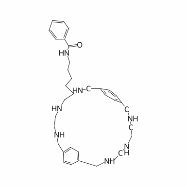 O=C(NCCCCC1CNCCNCc2ccc(cc2)CNCCNCCNCc2ccc(cc2)CN1)c1ccccc1